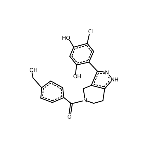 O=C(c1ccc(CO)cc1)N1CCc2[nH]nc(-c3cc(Cl)c(O)cc3O)c2C1